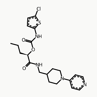 CCC[C@@H](OC(=O)Nc1ccc(Cl)s1)C(=O)NCC1CCN(c2ccncc2)CC1